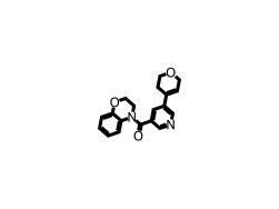 O=C(c1cncc(C2=CCOCC2)c1)N1CCOc2ccccc21